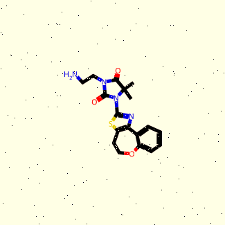 CC1(C)C(=O)N(CCN)C(=O)N1c1nc2c(s1)CCOc1ccccc1-2